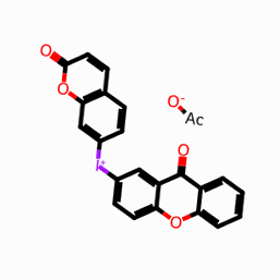 CC(=O)[O-].O=c1ccc2ccc([I+]c3ccc4oc5ccccc5c(=O)c4c3)cc2o1